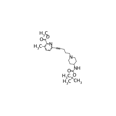 COC(=O)c1nc(C#CCCCN2CCC(NC(=O)OC(C)(C)C)CC2)ccc1C